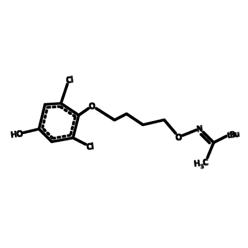 CC(=NOCCCCOc1c(Cl)cc(O)cc1Cl)C(C)(C)C